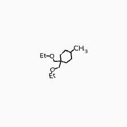 CCOCC1(COCC)CCC(C)CC1